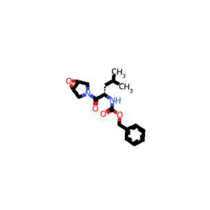 CC(C)C[C@H](NC(=O)OCc1ccccc1)C(=O)N1CC2OC2C1